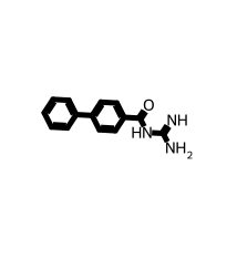 N=C(N)NC(=O)c1ccc(-c2ccccc2)cc1